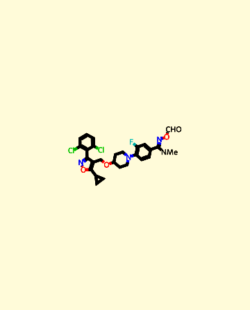 CN/C(=N\OC=O)c1ccc(N2CCC(OCc3c(-c4c(Cl)cccc4Cl)noc3C3CC3)CC2)c(F)c1